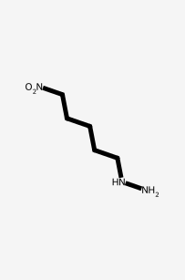 NNCCCCC[N+](=O)[O-]